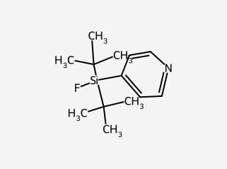 CC(C)(C)[Si](F)(c1ccncc1)C(C)(C)C